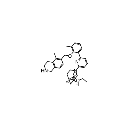 CCOC(=O)[C@@]12CCN(c3cccc(-c4cccc(C)c4OCc4ccc5c(c4C)CCNC5)n3)C[C@@H]1C2